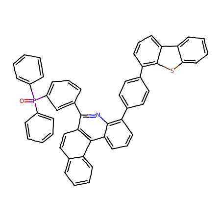 O=P(c1ccccc1)(c1ccccc1)c1cccc(-c2nc3c(-c4ccc(-c5cccc6c5sc5ccccc56)cc4)cccc3c3c2ccc2ccccc23)c1